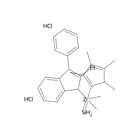 CCC1=C(c2ccccc2)c2ccccc2[CH]1[Zr]([CH3])([CH3])(=[SiH2])[C]1=C(C)C(C)=C(C)C1C.Cl.Cl